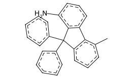 Cc1cccc2c1-c1cccc(N)c1C2(c1ccccc1)c1ccccc1